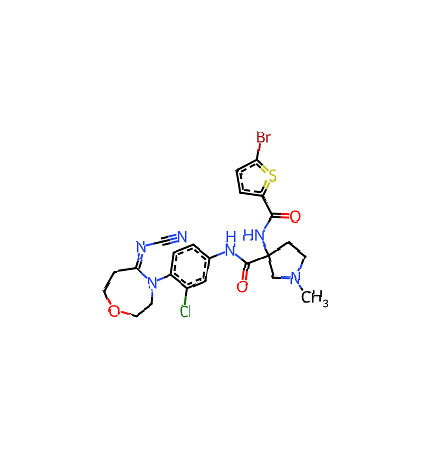 CN1CCC(NC(=O)c2ccc(Br)s2)(C(=O)Nc2ccc(N3CCOCCC3=NC#N)c(Cl)c2)C1